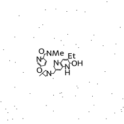 CCC1=Cc2ncc(CN3CC(C)(Oc4ccc(C(=O)NC)nc4)C3)cc2NC1O